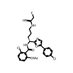 COc1cccc(Cl)c1C(=O)N[C@@H](CCCNC(=N)CF)c1ncc(-c2ccc(Cl)cc2)o1